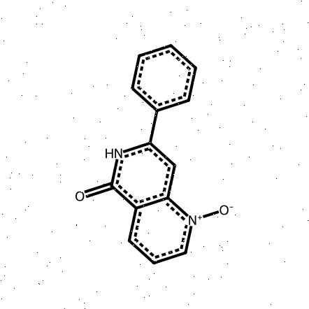 O=c1[nH]c(-c2ccccc2)cc2c1ccc[n+]2[O-]